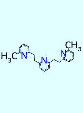 Cc1cccc(CCc2cccc(CCc3cccc(C)n3)n2)n1